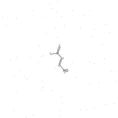 C=C(C)C=CN=O